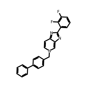 Fc1cccc(-c2nc3ccn(Cc4ccc(-c5ccccc5)cc4)cc-3n2)c1F